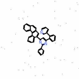 c1ccc(-c2nc(-c3ccccc3-c3cccnc3)cc(-c3cc4ccc5ccccc5c4c4ccccc34)n2)cc1